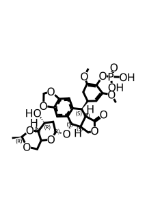 COC1=CC([C@@H]2c3cc4c(cc3[C@@H](O[C@H]3C[C@@H](O)[C@@H]5O[C@H](C)OCC5O3)[C@@H]3COC(=O)[C@@H]32)OCO4)CC(OC)=C1OP(=O)(O)O